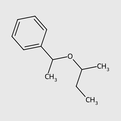 CCC(C)OC(C)c1ccccc1